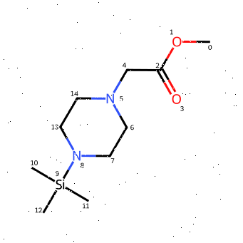 COC(=O)CN1CCN([Si](C)(C)C)CC1